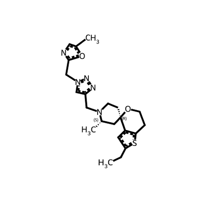 CCc1cc2c(s1)CCO[C@@]21CCN(Cc2cn(Cc3ncc(C)o3)nn2)[C@@H](C)C1